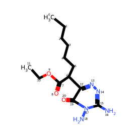 CCCCCCC(C(=O)OCC)c1nnc(N)n(N)c1=O